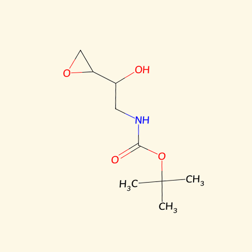 CC(C)(C)OC(=O)NCC(O)C1CO1